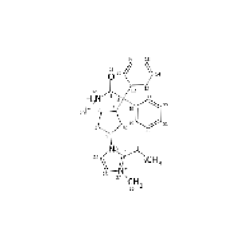 CCc1n(C2CCC(C(C(N)=O)(c3ccccc3)c3ccccc3)C2)cc[n+]1C.[I-]